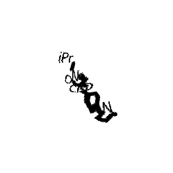 Cc1cccc(-c2ccc(COc3ccn(CCC(C)C)c(=O)c3C#N)cc2)n1